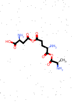 C[C@H](N)C(=O)OC(=O)[C@@H](N)CCC(=O)OC(=O)C[C@H](N)C(=O)O